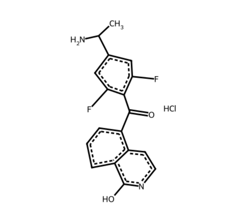 CC(N)c1cc(F)c(C(=O)c2cccc3c(O)nccc23)c(F)c1.Cl